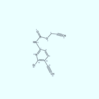 C#CCOC(=O)Nc1ccc(C#C)c(CC)n1